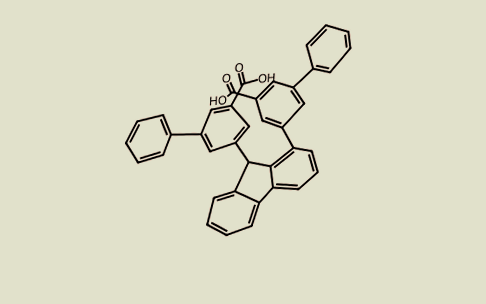 O=C(O)c1cc(-c2ccccc2)cc(-c2cccc3c2C(c2cc(C(=O)O)cc(-c4ccccc4)c2)c2ccccc2-3)c1